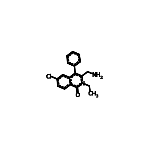 CCn1c(CN)c(-c2ccccc2)c2cc(Cl)ccc2c1=O